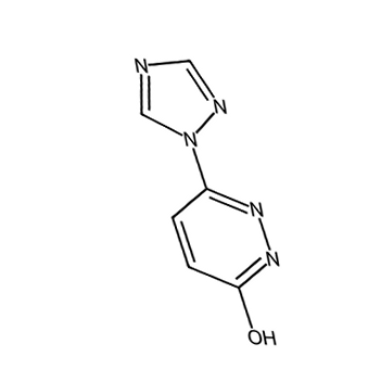 Oc1ccc(-n2cncn2)nn1